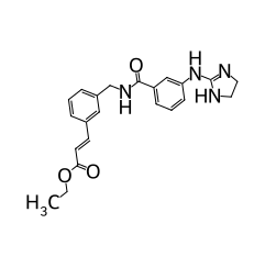 CCOC(=O)/C=C/c1cccc(CNC(=O)c2cccc(NC3=NCCN3)c2)c1